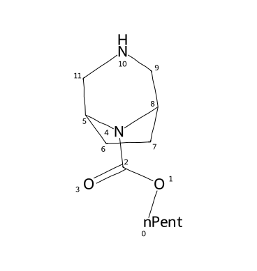 CCCCCOC(=O)N1C2CCC1CNC2